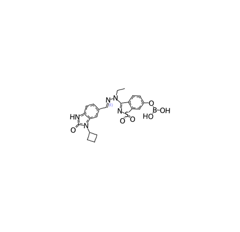 CCN(/N=C/c1ccc2[nH]c(=O)n(C3CCC3)c2c1)C1=NS(=O)(=O)c2cc(OB(O)O)ccc21